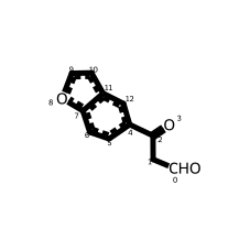 O=CCC(=O)c1ccc2occc2c1